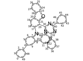 c1ccc(-c2ccc3c(c2)c2ccccc2n3-c2ccc3c(oc4ccccc43)c2-c2nc(-c3ccccc3)nc(-c3ccccc3)n2)cc1